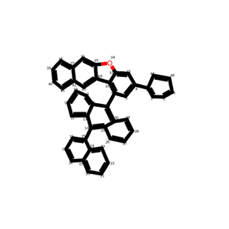 c1ccc(-c2cc(-c3c4ccccc4c(-c4cccc5ccccc45)c4ccccc34)c3c(c2)oc2cc4ccccc4cc23)cc1